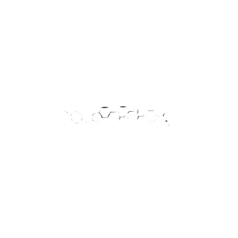 CC(C)(N)C(=O)N1CCN(C(=O)Nc2ccn(-c3ccc4c(c3)CC(N[C@H]3CC[C@H](N)CC3)C4)c(=O)n2)CC1